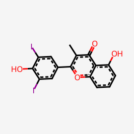 Cc1c(-c2cc(I)c(O)c(I)c2)oc2cccc(O)c2c1=O